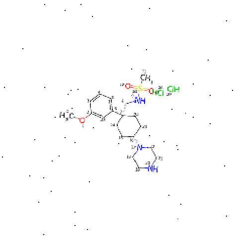 COc1cccc([C@]2(CNS(C)(=O)=O)CC[C@@H](N3CCNCC3)CC2)c1.Cl.Cl